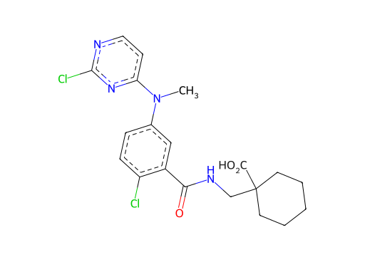 CN(c1ccc(Cl)c(C(=O)NCC2(C(=O)O)CCCCC2)c1)c1ccnc(Cl)n1